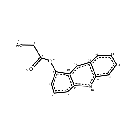 CC(=O)CC(=O)Oc1cccc2nc3ccccc3cc12